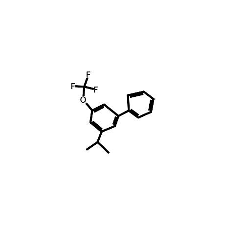 CC(C)c1cc(OC(F)(F)F)cc(-c2ccccc2)c1